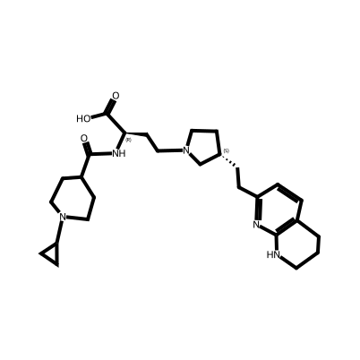 O=C(N[C@H](CCN1CC[C@H](CCc2ccc3c(n2)NCCC3)C1)C(=O)O)C1CCN(C2CC2)CC1